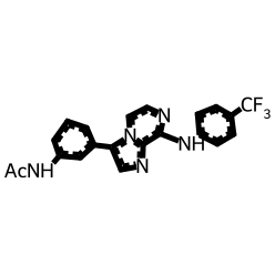 CC(=O)Nc1cccc(-c2cnc3c(Nc4ccc(C(F)(F)F)cc4)nccn23)c1